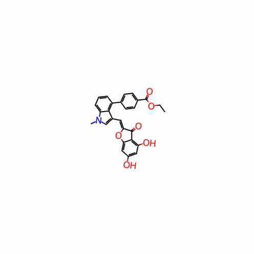 CCOC(=O)c1ccc(-c2cccc3c2c(C=C2Oc4cc(O)cc(O)c4C2=O)cn3C)cc1